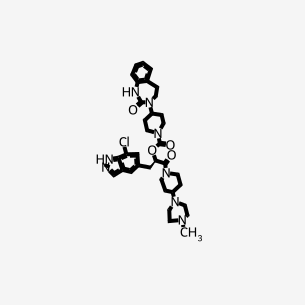 CN1CCN(C2CCN(C(=O)[C@@H](Cc3cc(Cl)c4[nH]ncc4c3)OC(=O)N3CCC(N4CCc5ccccc5NC4=O)CC3)CC2)CC1